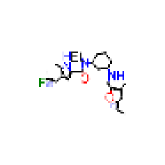 C/C=C1\CC(C)=C(CNC2CCCC(N(CC)C(=O)c3cc(/C=C(\C)F)c(C)[nH]3)C2)O1